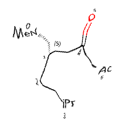 CN[C@@H](CC(C)C)C(=O)C(C)=O